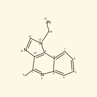 Cc1nc2ccccc2c2c1ncn2CC(C)C